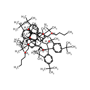 CCCCCCC(C)C(OP(OC(c1ccc(C(C)(C)C)cc1C(C)(C)C)(c1ccc(C(C)(C)C)cc1C(C)(C)C)C(C)CCCCCC)OC(c1ccc(C(C)(C)C)cc1C(C)(C)C)(c1ccc(C(C)(C)C)cc1C(C)(C)C)C(C)CCCCCC)(c1ccc(C(C)(C)C)cc1C(C)(C)C)c1ccc(C(C)(C)C)cc1C(C)(C)C